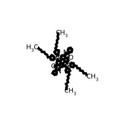 CCCCCCCCCc1ccc(Oc2cc3c(=O)n4c5ccccc5nc4c4cc(Oc5ccc(CCCCCCCCC)cc5)c5c6c(Oc7ccc(CCCCCCCCC)cc7)cc7c(=O)n8c9ccccc9nc8c8cc(Oc9ccc(CCCCCCCCC)cc9)c(c2c5c34)c6c78)cc1